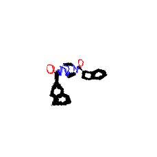 O=C(C1CCc2ccccc2C1)N1CCN(C(=O)[C@@H]2CCc3ccccc3C2)CC1